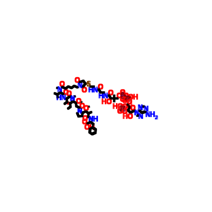 CCC(C)C(C(CC(=O)N1CCCC1C(OC)C(C)C(=O)NC(Cc1ccccc1)C(=O)O)OC)N(C)C(=O)C(NC(=O)C(C(C)C)N(C)C(=O)CCCCCN1C(=O)CC(SCCNC(=O)CCNC(=O)C(O)C(C)(C)COP(=O)(O)OP(=O)(O)OCC2OC(n3cnc4c(N)ncnc43)C(O)C2OP(=O)(O)O)C1=O)C(C)C